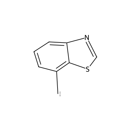 [C]c1cccc2ncsc12